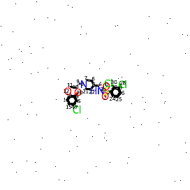 O=S(=O)(NCC1CCN(C[C@H]2COc3ccc(Cl)cc3O2)CC1)c1cccc(Cl)c1Cl